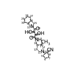 C[C@H]1CN(c2ccccc2C#N)CCC1CNC(=O)[C@H](O)[C@@H](O)C(=O)N1Cc2ccccc2C1